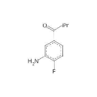 CC(C)C(=O)c1ccc(F)c(N)c1